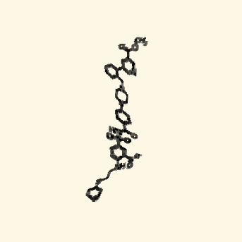 COC(=O)c1cncc(-c2ccccc2CN2CCN(c3ccc(C(=O)NS(=O)(=O)c4ccc(NCCSc5ccccc5)c([N+](=O)[O-])c4)cc3)CC2)c1